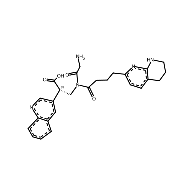 NCC(=O)N(C[C@@H](C(=O)O)c1cnc2ccccc2c1)C(=O)CCCc1ccc2c(n1)NCCC2